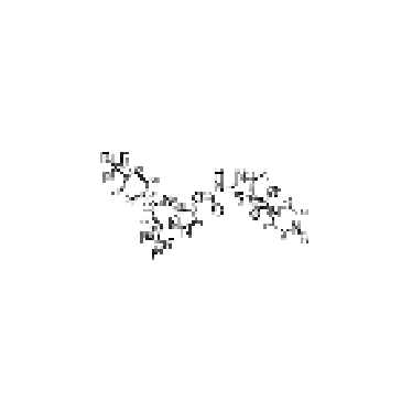 Cc1nc(NC(=O)Oc2cnn3c(C(F)(F)F)cc(-c4ccc(C(F)(F)F)cc4)nc23)sc1S(=O)(=O)N1CCN(C)CC1